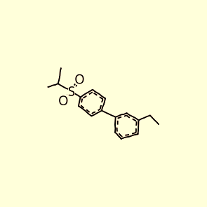 CCc1cccc(-c2ccc(S(=O)(=O)C(C)C)cc2)c1